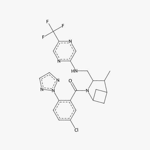 CC1C2CC(C2)N(C(=O)c2cc(Cl)ccc2-n2nccn2)C1CNc1cnc(C(F)(F)F)cn1